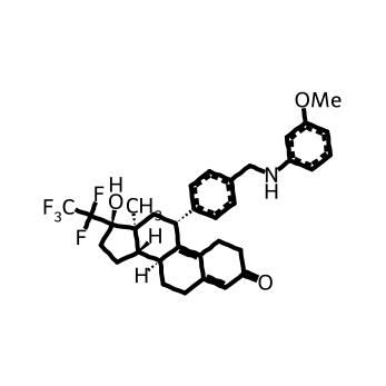 COc1cccc(NCc2ccc([C@H]3C[C@@]4(C)[C@@H](CC[C@]4(O)C(F)(F)C(F)(F)F)[C@@H]4CCC5=CC(=O)CCC5=C43)cc2)c1